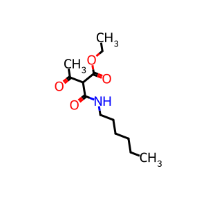 CCCCCCNC(=O)C(C(C)=O)C(=O)OCC